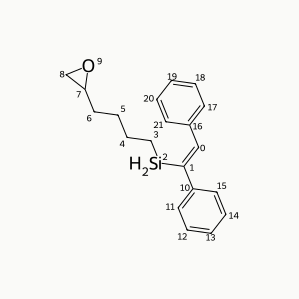 C(=C([SiH2]CCCCC1CO1)c1ccccc1)c1ccccc1